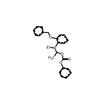 CCN(c1ccccc1OCc1ccccc1)C(C)OC(=O)Oc1ccccc1